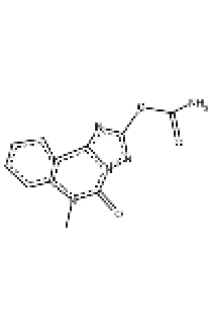 Cn1c(=O)n2nc(OC(N)=O)nc2c2ccccc21